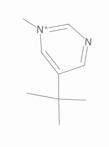 C[n+]1cncc(C(C)(C)C)c1